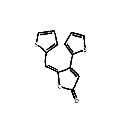 O=C1C=C(c2cccs2)/C(=C\c2cccs2)O1